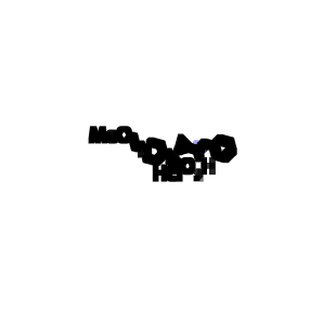 COCCN1CCC(N(C(=O)O)C2CC2/C(C)=C/c2ccccc2)CC1.Cl